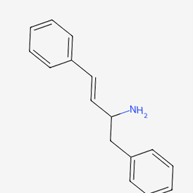 NC(/C=C/c1ccccc1)Cc1ccccc1